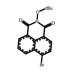 CC(C)(C)ON1C(=O)c2cccc3c(Br)ccc(c23)C1=O